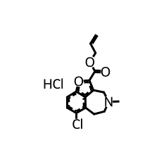 C=CCOC(=O)c1oc2ccc(Cl)c3c2c1CN(C)CC3.Cl